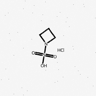 Cl.O=S(=O)(O)N1CCC1